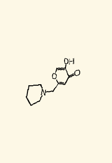 O=c1cc(CN2CCCCC2)occ1O